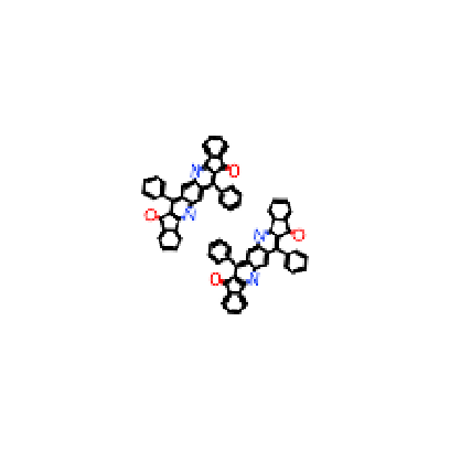 O=c1c2ccccc2c2nc3cc4c(-c5ccccc5)c5c(=O)c6ccccc6c5nc4cc3c(-c3ccccc3)c12.O=c1c2ccccc2c2nc3cc4c(-c5ccccc5)c5c(=O)c6ccccc6c5nc4cc3c(-c3ccccc3)c12